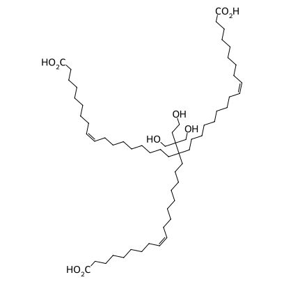 O=C(O)CCCCCCC/C=C\CCCCCCCCC(CCCCCCCC/C=C\CCCCCCCC(=O)O)(CCCCCCCC/C=C\CCCCCCCC(=O)O)C(CO)(CO)CCO